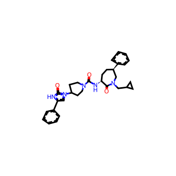 O=C(N[C@@H]1CC[C@@H](c2ccccc2)CN(CC2CC2)C1=O)N1CCC(n2cc(-c3ccccc3)[nH]c2=O)CC1